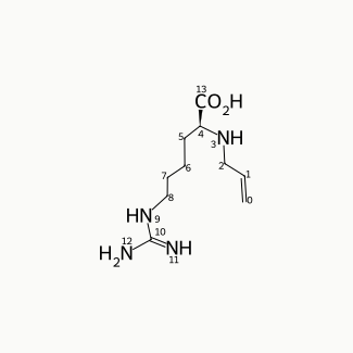 C=CCN[C@@H](CCCCNC(=N)N)C(=O)O